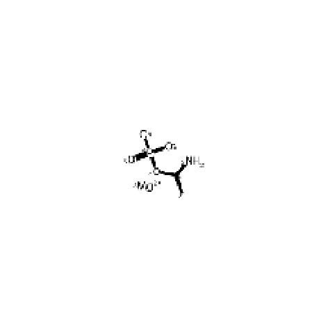 CC(N)OP(=O)([O-])[O-].[Mg+2]